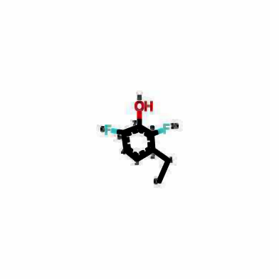 CCc1ccc(F)c(O)c1F